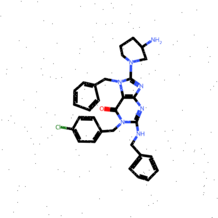 NC1CCCN(c2nc3nc(NCc4ccccc4)n(Cc4ccc(Cl)cc4)c(=O)c3n2Cc2ccccc2)C1